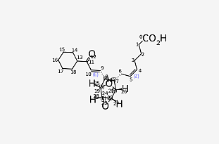 O=C(O)CCC/C=C\C[C@H]1[C@@H](/C=C/C(=O)C2CCCCC2)[C@@H]2O[C@H]1[C@@H]1O[C@@H]12